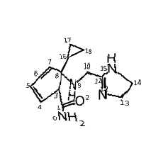 NC(=O)C1C=CC=CC1(NCC1=NCCN1)C1CC1